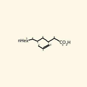 C=CC.CCCCCCCCCCCC(=O)O